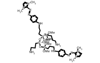 CO[Si](CCCN)(OC)O[Si](CCCNc1ccc(/N=N/c2n(C)cc[n+]2C)cc1)(OC)O[Si@@](CCCN)(OC)O[Si](CCCNc1ccc(/N=N/c2n(C)cc[n+]2C)cc1)(OC)OC